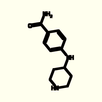 NC(=O)c1ccc(NC2CCNCC2)cc1